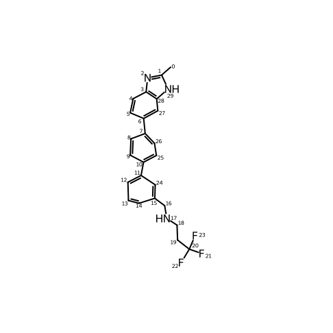 Cc1nc2ccc(-c3ccc(-c4cccc(CNCCC(F)(F)F)c4)cc3)cc2[nH]1